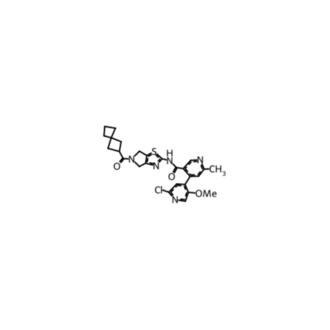 COc1cnc(Cl)cc1-c1cc(C)ncc1C(=O)Nc1nc2c(s1)CN(C(=O)C1CC3(CCC3)C1)C2